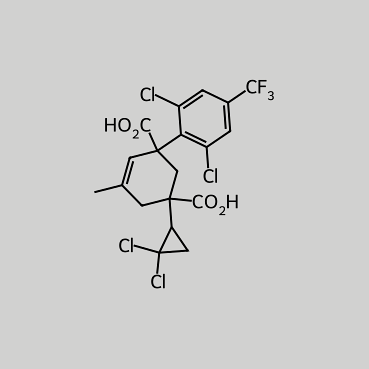 CC1=CC(C(=O)O)(c2c(Cl)cc(C(F)(F)F)cc2Cl)CC(C(=O)O)(C2CC2(Cl)Cl)C1